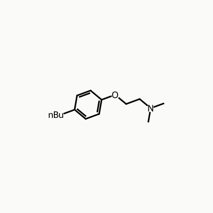 CCCCc1ccc(OCCN(C)C)cc1